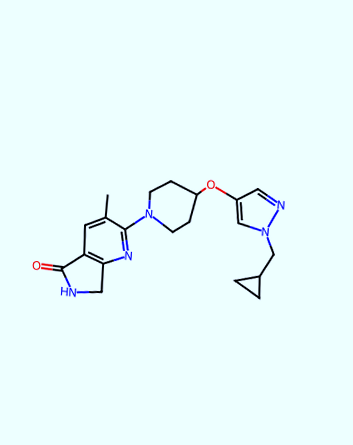 Cc1cc2c(nc1N1CCC(Oc3cnn(CC4CC4)c3)CC1)CNC2=O